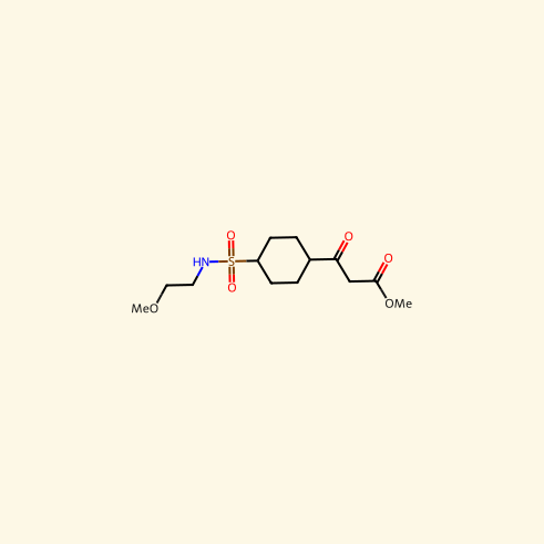 COCCNS(=O)(=O)C1CCC(C(=O)CC(=O)OC)CC1